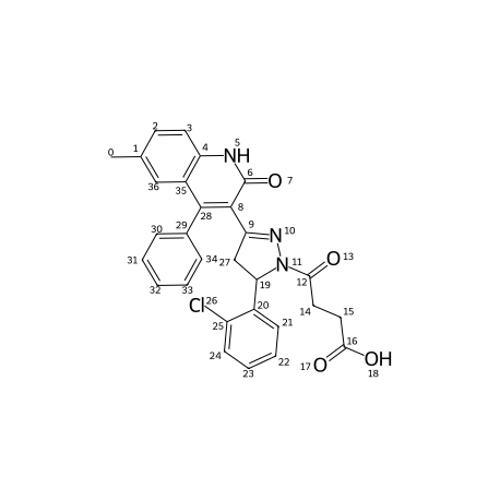 Cc1ccc2[nH]c(=O)c(C3=NN(C(=O)CCC(=O)O)C(c4ccccc4Cl)C3)c(-c3ccccc3)c2c1